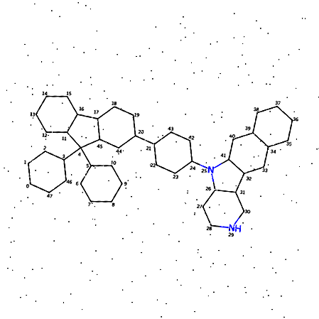 C1CCC(C2(C3CCCCC3)C3CCCCC3C3CCC(C4CCC(N5C6CCNCC6C6CC7CCCCC7CC65)CC4)CC32)CC1